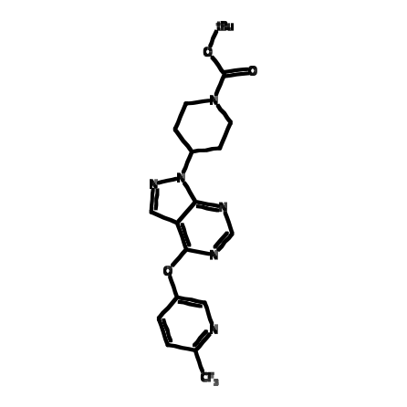 CC(C)(C)OC(=O)N1CCC(n2ncc3c(Oc4ccc(C(F)(F)F)nc4)ncnc32)CC1